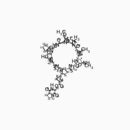 CNC(=O)CC1NC(=O)c2csc(n2)-c2ccc(-c3nc(C(=O)OCC4NC(=O)C5CCCN5C4=O)cs3)nc2-c2csc(n2)-c2csc(n2)C(C(O)c2ccccc2)NC(=O)CNC(=O)c2nc(sc2COC)C(C(C)C)NC(=O)c2nc1sc2C